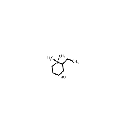 CCC1CCCC[N+]1(C)C.[OH-]